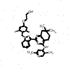 Cc1cc(Nc2nc(-c3nn(Cc4c(F)cc(OCCO)cc4F)c4ccccc34)nc3c2CCC(C)(C)C3)c(C)cn1